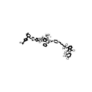 CC1(C)CCC(CN2CCN(c3ccc(C(=O)NS(=O)(=O)c4ccc(N[C@H](CCN5CCN(CCCCC(=O)Nc6cccc7c6C(=O)N(C6CCC(=O)NC6=O)C7=O)CC5)CSc5ccccc5)c(S(=O)(=O)C(F)(F)F)c4)cc3)CC2)=C(C23CC(C(F)F)(C2)C3)C1